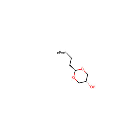 CCCCCCC[C@H]1OC[C@H](O)CO1